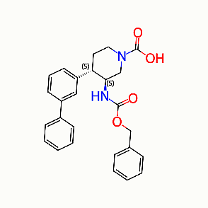 O=C(N[C@@H]1CN(C(=O)O)CC[C@H]1c1cccc(-c2ccccc2)c1)OCc1ccccc1